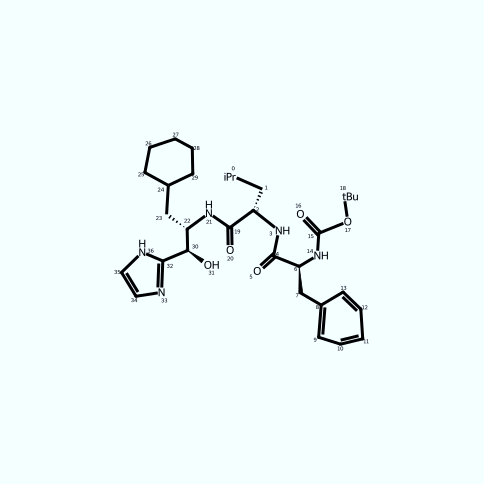 CC(C)C[C@H](NC(=O)[C@H](Cc1ccccc1)NC(=O)OC(C)(C)C)C(=O)N[C@@H](CC1CCCCC1)[C@@H](O)c1ncc[nH]1